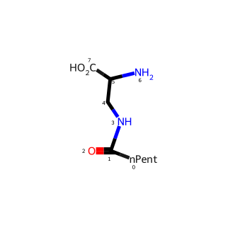 CCCCCC(=O)NCC(N)C(=O)O